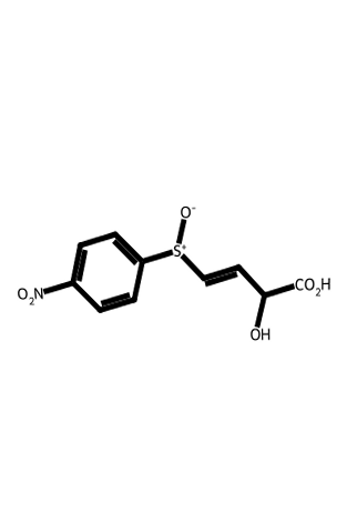 O=C(O)C(O)C=C[S+]([O-])c1ccc([N+](=O)[O-])cc1